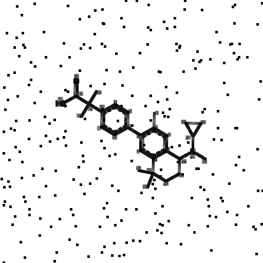 Cc1cc2c(cc1-c1ccc(C(C)(C)C(=O)O)cc1)C(C)(C)CCC2N(C)C1CC1